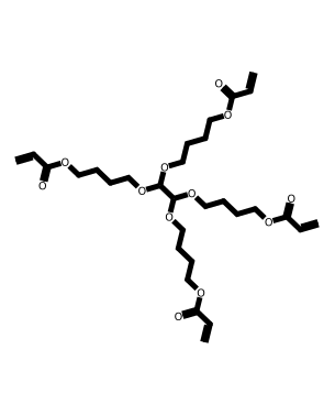 C=CC(=O)OCCCCOC(OCCCCOC(=O)C=C)C(OCCCCOC(=O)C=C)OCCCCOC(=O)C=C